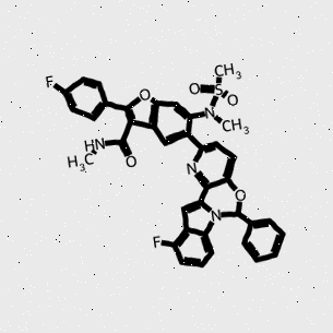 CNC(=O)c1c(-c2ccc(F)cc2)oc2cc(N(C)S(C)(=O)=O)c(-c3ccc4c(n3)-c3cc5c(F)cccc5n3C(c3ccccc3)O4)cc12